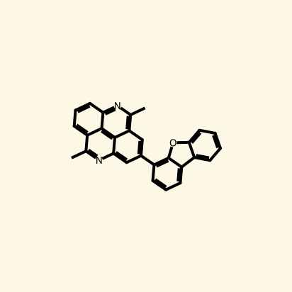 Cc1nc2cc(-c3cccc4c3oc3ccccc34)cc3c(C)nc4cccc1c4c23